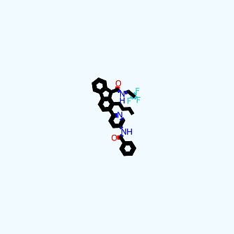 CCCCc1c(-c2ccc(NC(=O)c3ccccc3)cn2)ccc2c1C(C(=O)NCC(F)(F)F)c1ccccc1-2